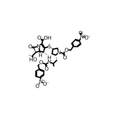 CC(C[C@@H]1C[C@H](SC2=C(C(=O)O)N3C(=O)[C@H]([C@@H](C)O)[C@H]3[C@H]2C)CN1C(=O)OCc1ccc([N+](=O)[O-])cc1)NC(=O)OCc1ccc([N+](=O)[O-])cc1